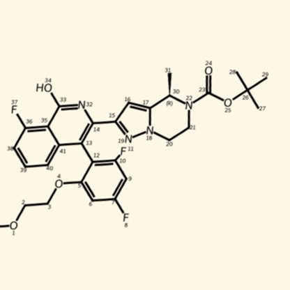 COCCOc1cc(F)cc(F)c1-c1c(-c2cc3n(n2)CCN(C(=O)OC(C)(C)C)[C@@H]3C)nc(O)c2c(F)cccc12